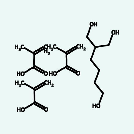 C=C(C)C(=O)O.C=C(C)C(=O)O.C=C(C)C(=O)O.OCCCCC(CO)CO